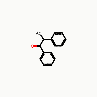 CC(=O)C(C(=O)c1ccccc1)c1ccccc1